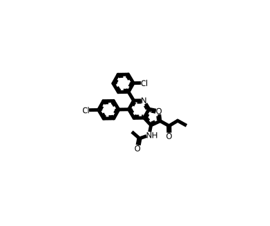 CCC(=O)c1oc2nc(-c3ccccc3Cl)c(-c3ccc(Cl)cc3)cc2c1NC(C)=O